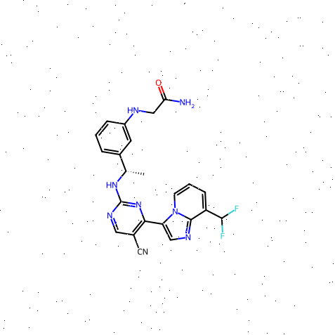 C[C@H](Nc1ncc(C#N)c(-c2cnc3c(C(F)F)cccn23)n1)c1cccc(NCC(N)=O)c1